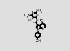 C[C@H](Nc1nc(N)nc(N)c1C#N)c1cn(-c2ccc(O)cc2)c2nccc(Cl)c12